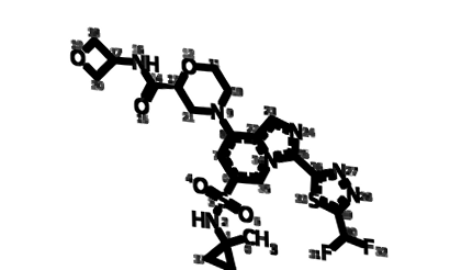 CC1(NS(=O)(=O)c2cc(N3CCO[C@H](C(=O)NC4COC4)C3)c3cnc(-c4nnc(C(F)F)s4)n3c2)CC1